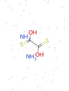 N.N.OC(=S)C(O)=S